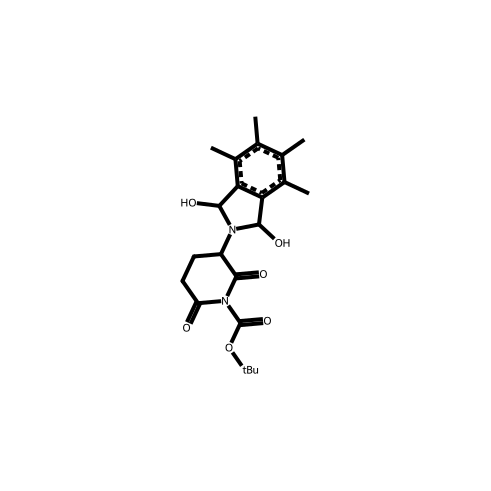 Cc1c(C)c(C)c2c(c1C)C(O)N(C1CCC(=O)N(C(=O)OC(C)(C)C)C1=O)C2O